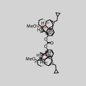 CO[C@]12CC[C@@]3(C[C@@H]1[C@](C)(O)C(C)(C)C)C1Cc4ccc(OC(=O)Oc5ccc6c7c5O[C@H]5[C@@]8(OC)CC[C@@]9(C[C@@H]8[C@](C)(O)C(C)(C)C)C(C6)N(CC6CC6)CC[C@]759)c5c4[C@@]3(CCN1CC1CC1)[C@H]2O5